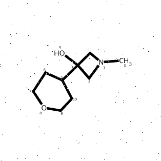 CN1CC(O)(C2CCOCC2)C1